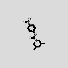 CC1CC(C)CN(C(=O)Oc2ccc([N+](=O)[O-])cc2)C1